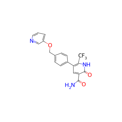 NC(=O)c1cc(-c2ccc(COc3cccnc3)cc2)c(C(F)(F)F)[nH]c1=O